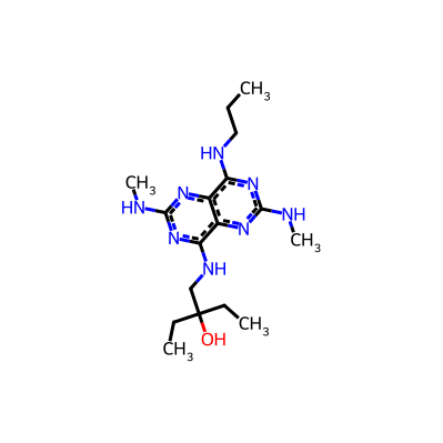 CCCNc1nc(NC)nc2c(NCC(O)(CC)CC)nc(NC)nc12